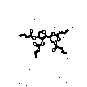 CC=CC(=O)OC[C@@H](OC(=O)C=CC)[C@H]1OC[C@H](OC(=O)C=CC)[C@H]1OC(=O)C=CC